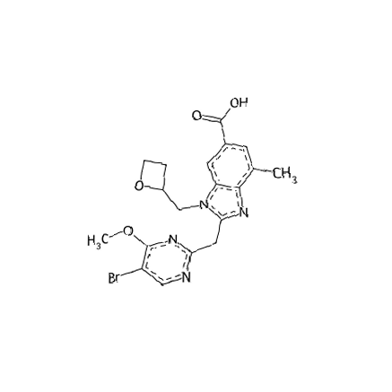 COc1nc(Cc2nc3c(C)cc(C(=O)O)cc3n2CC2CCO2)ncc1Br